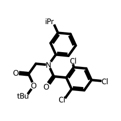 CC(C)c1cccc(N(CC(=O)OC(C)(C)C)C(=O)c2c(Cl)cc(Cl)cc2Cl)c1